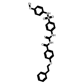 CCOc1ccc(NS(=O)(=O)c2ccc(NC(=S)NC(=O)c3ccc(OCCc4ccccc4)cc3)cc2)cc1